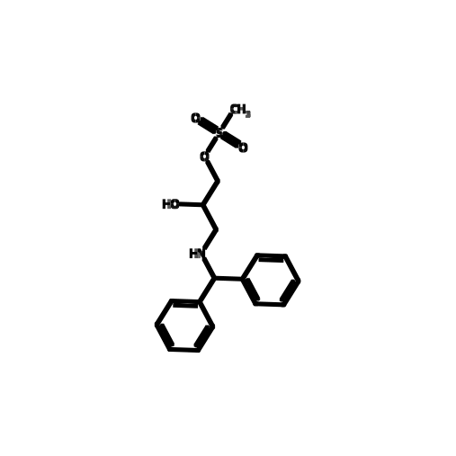 CS(=O)(=O)OCC(O)CNC(c1ccccc1)c1ccccc1